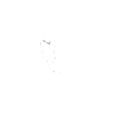 CCOC(=O)/C=C1/C=C(CC(C)CCC(C)=C(C)C)CCC1